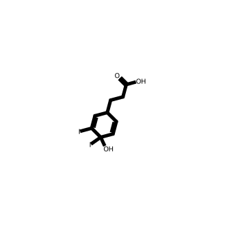 O=C(O)CCC1C=CC(O)(I)C(I)=C1